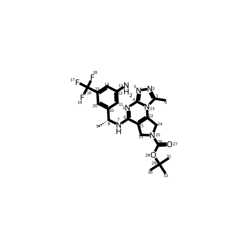 Cc1nnc2nc(N[C@H](C)c3cc(N)cc(C(F)(F)F)c3)c3c(n12)CN(C(=O)OC(C)(C)C)C3